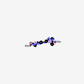 COC(=O)N[C@H](C(=O)N1CCC[C@H]1c1ncc(-c2ccc(-c3nc4ccc(-c5cnc([C@@H]6CCCN6C(=O)[C@H](NC(=O)OC)c6ccccc6)[nH]5)cc4s3)cc2)[nH]1)C(C)C